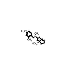 Cc1ccc(CN(C)C2CC3=CCCC3(C(=O)O)C2)c(C)c1